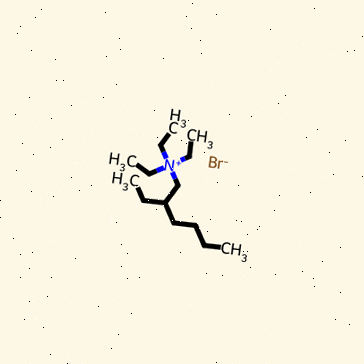 CCCCC(CC)C[N+](CC)(CC)CC.[Br-]